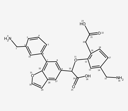 NCc1cccc(-c2cc(C(Oc3cc(CN)ccc3CC(=O)O)C(=O)O)cc3ccoc23)c1